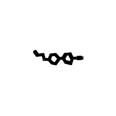 C=CCOC1CCC(c2ccc(C#N)cc2)CC1